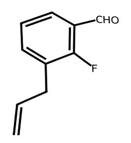 C=CCc1cccc(C=O)c1F